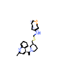 C=C(c1cc(C)nc2c1=CCCC=2)N1CCCC(CSCNC2=C/C=P/C=C\C=C\2)C1